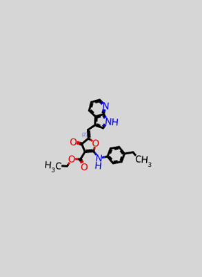 CCOC(=O)C1=C(Nc2ccc(CC)cc2)O/C(=C\c2c[nH]c3ncccc23)C1=O